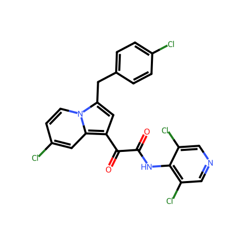 O=C(Nc1c(Cl)cncc1Cl)C(=O)c1cc(Cc2ccc(Cl)cc2)n2ccc(Cl)cc12